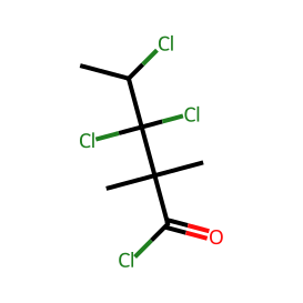 CC(Cl)C(Cl)(Cl)C(C)(C)C(=O)Cl